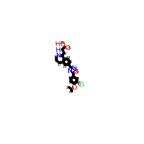 CC(C)Oc1ccc(-c2nc(-c3ccc4c(c3)CCCNC4CCC(=O)O)no2)cc1Cl